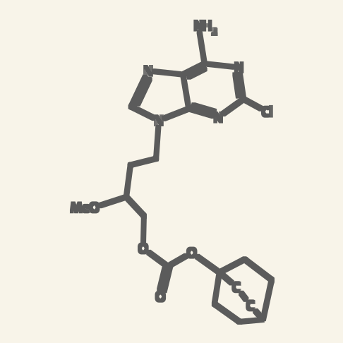 COC(CCn1cnc2c(N)nc(Cl)nc21)COC(=O)OC12CCC(CC1)CC2